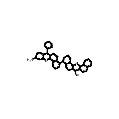 Nc1ccc2c(-c3ccccc3)c3ccc4c(-c5cccc6c5ccc5c(N)c7ccc8ccccc8c7nc56)cccc4c3nc2c1